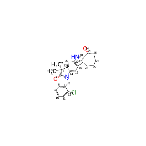 CC1(C)C(=O)N(Cc2ccccc2Cl)c2cc3c4c([nH]c3cc21)C(=O)CCCC4